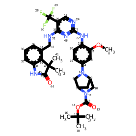 COc1cc(N2CC3CC2CN3C(=O)OC(C)(C)C)ccc1Nc1ncc(C(F)(F)F)c(NCc2cccc3c2C(C)(C)C(=O)N3)n1